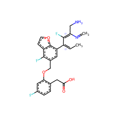 C=N/C(CN)=C(F)\C(=C/C)c1cc(COc2cc(F)ccc2CC(=O)O)c(F)c2ccoc12